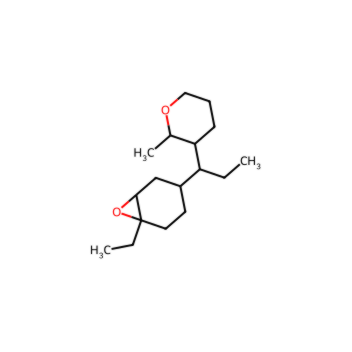 CCC(C1CCC2(CC)OC2C1)C1CCCOC1C